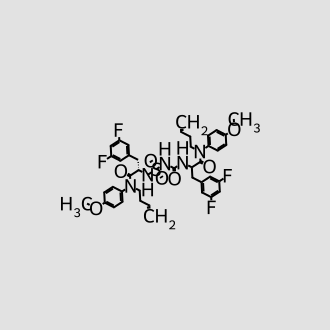 C=CCCN(C(=O)C(Cc1cc(F)cc(F)c1)NC(=O)NS(=O)(=O)N[C@@H](Cc1cc(F)cc(F)c1)C(=O)N(CCC=C)c1ccc(OC)cc1)c1ccc(OC)cc1